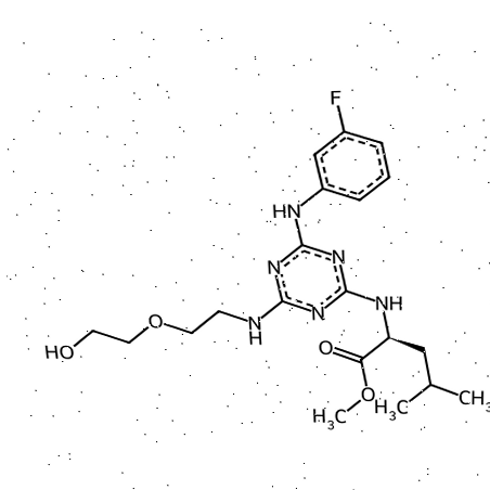 COC(=O)[C@H](CC(C)C)Nc1nc(NCCOCCO)nc(Nc2cccc(F)c2)n1